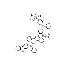 C[Si](C)(C)c1ccc(N(c2ccccc2)c2ccc3c(c2)[Si](C)(C)c2cccc4c2c-3cc2c3ccccc3c(N(c3ccccc3)c3ccc5c(c3)oc3ccccc35)cc42)cc1